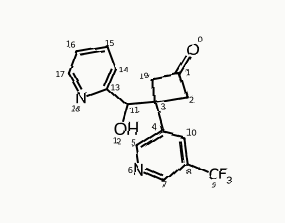 O=C1CC(c2cncc(C(F)(F)F)c2)(C(O)c2ccccn2)C1